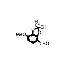 COc1ccc(C=O)c2c1OC(C)(C)O2